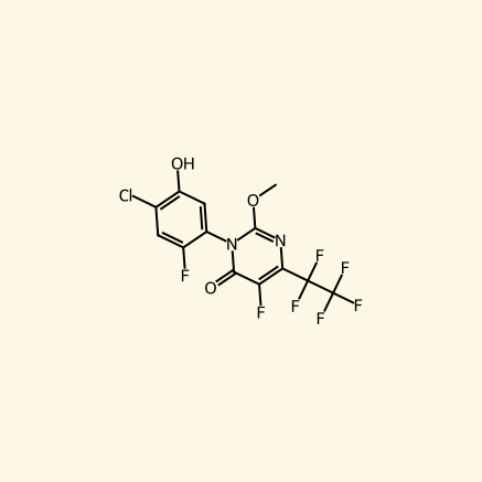 COc1nc(C(F)(F)C(F)(F)F)c(F)c(=O)n1-c1cc(O)c(Cl)cc1F